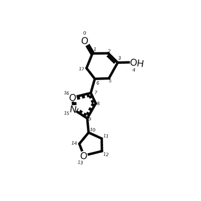 O=C1C=C(O)CC(c2cc(C3CCOC3)no2)C1